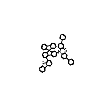 c1ccc(-c2ccc3c(c2)Sc2cc(-c4ccccc4)ccc2N3c2ccc3c(c2)C2(c4ccccc4-c4ccccc42)c2cccc(-c4cccc5c4sc4ccccc45)c2-3)cc1